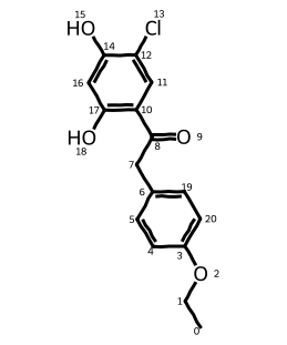 CCOc1ccc(CC(=O)c2cc(Cl)c(O)cc2O)cc1